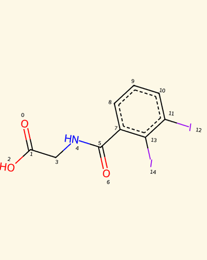 O=C(O)CNC(=O)c1cccc(I)c1I